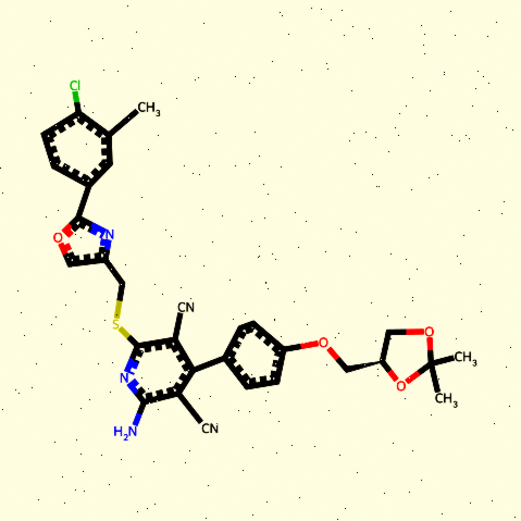 Cc1cc(-c2nc(CSc3nc(N)c(C#N)c(-c4ccc(OC[C@H]5COC(C)(C)O5)cc4)c3C#N)co2)ccc1Cl